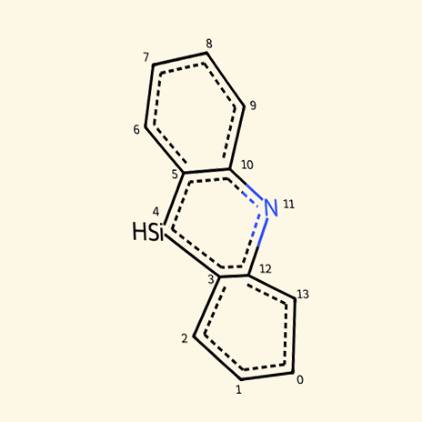 c1ccc2[siH]c3ccccc3nc2c1